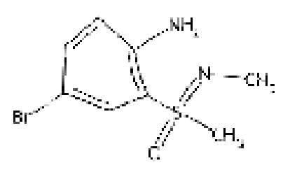 CN=S(C)(=O)c1cc(Br)ccc1N